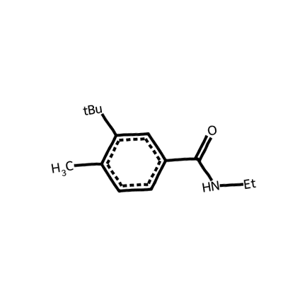 CCNC(=O)c1ccc(C)c(C(C)(C)C)c1